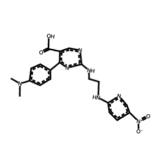 CN(C)c1ccc(-c2nc(NCCNc3ccc([N+](=O)[O-])cn3)ncc2C(=O)O)cc1